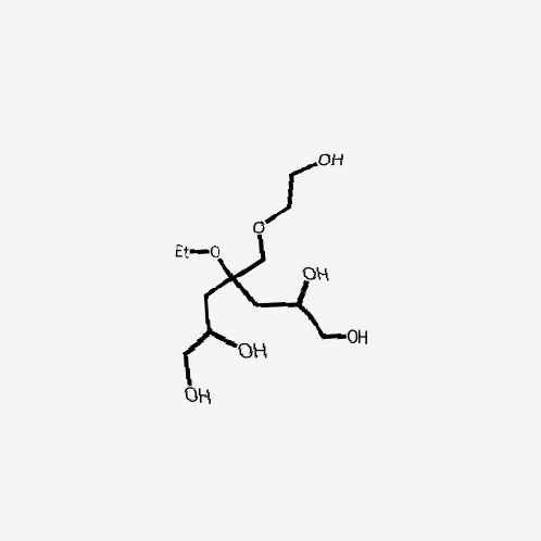 CCOC(COCCO)(CC(O)CO)CC(O)CO